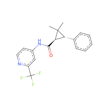 CC1(C)[C@H](C(=O)Nc2ccnc(C(F)(F)F)c2)[C@H]1c1ccccc1